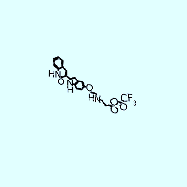 O=C(CCNCCOc1ccc2[nH]c(-c3cc4ccccc4[nH]c3=O)cc2c1)OC(=O)C(F)(F)F